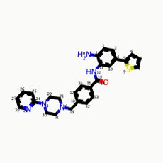 Nc1ccc(-c2cccs2)cc1NC(=O)c1ccc(CN2CCN(c3ccccn3)CC2)cc1